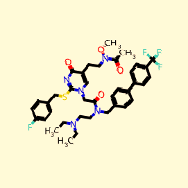 CCN(CC)CCN(Cc1ccc(-c2ccc(C(F)(F)F)cc2)cc1)C(=O)Cn1cc(CCN(OC)C(C)=O)c(=O)nc1SCc1ccc(F)cc1